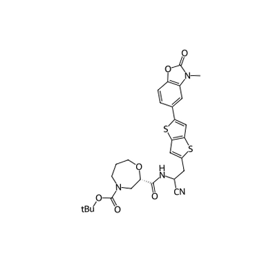 Cn1c(=O)oc2ccc(-c3cc4sc(CC(C#N)NC(=O)[C@@H]5CN(C(=O)OC(C)(C)C)CCCO5)cc4s3)cc21